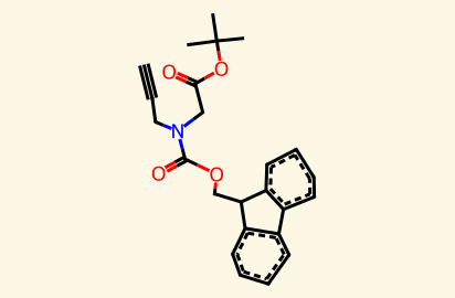 C#CCN(CC(=O)OC(C)(C)C)C(=O)OCC1c2ccccc2-c2ccccc21